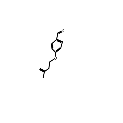 C=C(C)CCOc1ccc(C=O)cc1